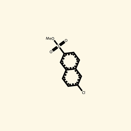 COS(=O)(=O)c1ccc2cc(Cl)ccc2c1